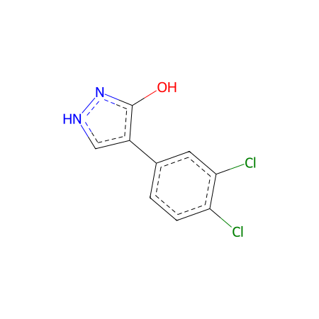 Oc1n[nH]cc1-c1ccc(Cl)c(Cl)c1